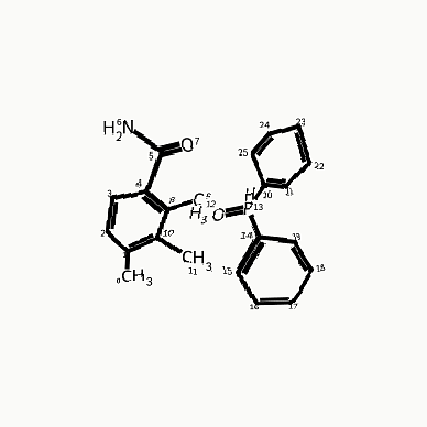 Cc1ccc(C(N)=O)c(C)c1C.O=[PH](c1ccccc1)c1ccccc1